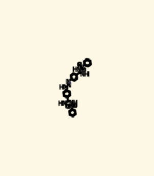 N=C(NS(=O)(=O)c1ccccc1)c1ccc(/N=N/Nc2ccc(C(=N)NS(=O)(=O)c3ccccc3)cc2)cc1